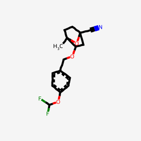 CC12CCC(C#N)(CC1OCc1ccc(OC(F)F)cc1)O2